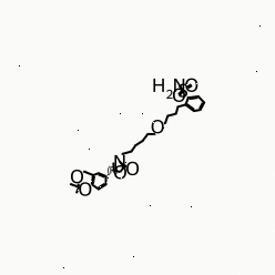 CC1(C)OCc2cc([C@@H]3CN(CCCCCCOCCCCc4ccccc4S(N)(=O)=O)C(=O)O3)ccc2O1